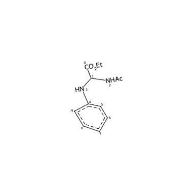 CCOC(=O)C(NC(C)=O)Nc1ccccc1